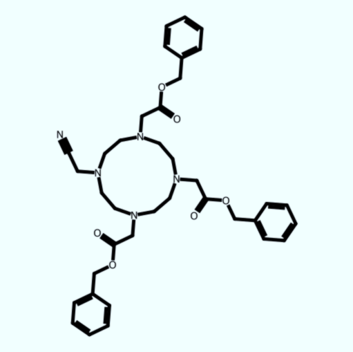 N#CCN1CCN(CC(=O)OCc2ccccc2)CCN(CC(=O)OCc2ccccc2)CCN(CC(=O)OCc2ccccc2)CC1